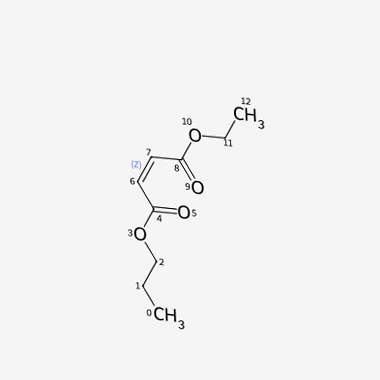 CCCOC(=O)/C=C\C(=O)OCC